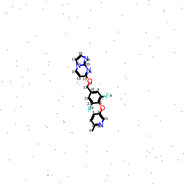 Cc1ccc(Oc2c(F)cc(COc3ccn4ccnc4n3)cc2F)cn1